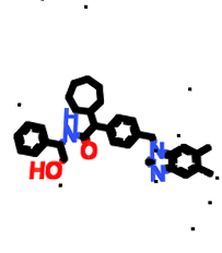 Cc1cc2ncn(Cc3ccc(C(C(=O)NC(CO)c4ccccc4)C4CCCCCC4)cc3)c2cc1C